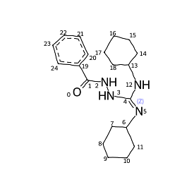 O=C(NN/C(=N\C1CCCCC1)NC1CCCCC1)c1ccccc1